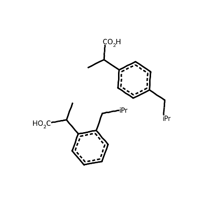 CC(C)Cc1ccc(C(C)C(=O)O)cc1.CC(C)Cc1ccccc1C(C)C(=O)O